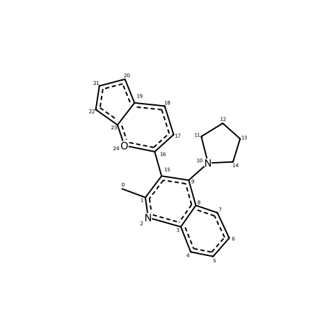 Cc1nc2ccccc2c(N2CCCC2)c1-c1ccc2cccc-2o1